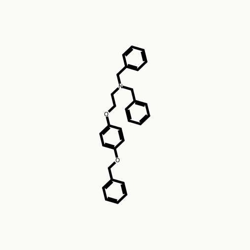 c1ccc(COc2ccc(OCCN(Cc3ccccc3)Cc3ccccc3)cc2)cc1